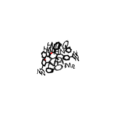 COc1ccccc1NC(c1cccc(-c2cncnc2)c1)C(C(=O)C(c1c[nH]c2ccccc12)C(Nc1ccccc1OC)c1cccc(-c2cncnc2)c1)c1c[nH]c2ccccc12